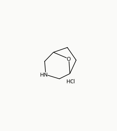 C1CC2CNCC1O2.Cl